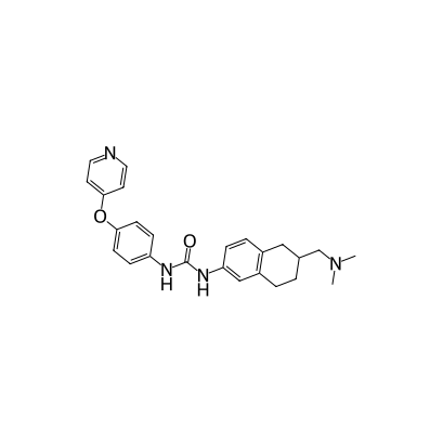 CN(C)CC1CCc2cc(NC(=O)Nc3ccc(Oc4ccncc4)cc3)ccc2C1